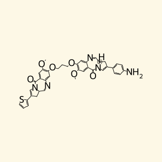 COc1cc2c(cc1OCCCOc1cc3c(cc1OC)C(=O)N1C=C(c4ccc(N)cc4)C[C@H]1C=N3)N=CC1CC(c3cccs3)=CN1C2=O